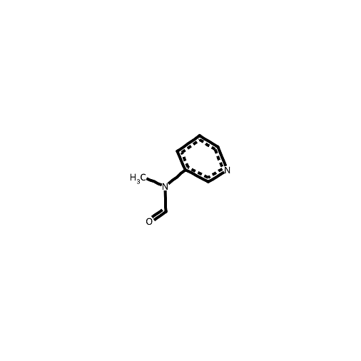 CN(C=O)c1cccnc1